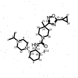 CC(C)N1CCN([C@H]2CCC[C@@H](F)[C@@H]2NC(=O)N2CCC(C)(c3noc(C4CC4)n3)CC2)CC1